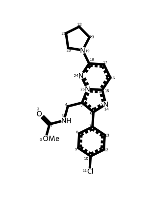 COC(=O)NCc1c(-c2ccc(Cl)cc2)nc2ccc(N3CCCC3)nn12